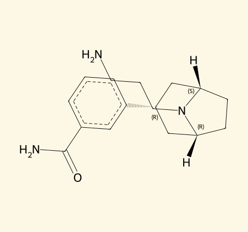 NCCCN1[C@@H]2CC[C@H]1C[C@@H](c1cccc(C(N)=O)c1)C2